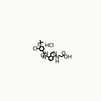 CC(C)Oc1ccc(-c2nc(-c3cccc4c(NCCC(=O)O)nccc34)no2)cc1Cl.Cl